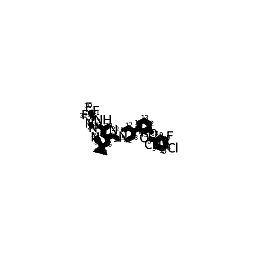 CC1(c2ccc(Cl)c(F)c2)Oc2cccc(C3CCN(Cc4ncc(-c5nnc(C(F)(F)F)[nH]5)cc4CC4(C#N)CC4)CC3)c2O1